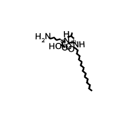 CCCCCCCCCCCCCCCC(=O)N[C@@H](CC(C)C)C(=O)N[C@@H](CCCCN)C(=O)O